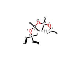 C=C[Si](C)(C=C)O[Si](C)(C)O[Si](C)(C)O[SiH2]C